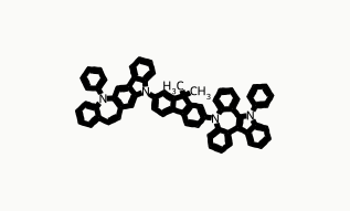 CC1(C)c2cc(N3c4ccccc4-c4c(n(-c5ccccc5)c5ccccc45)-c4ccccc43)ccc2-c2ccc(-n3c4ccccc4c4cc5c(cc43)C=Cc3ccccc3N5c3ccccc3)cc21